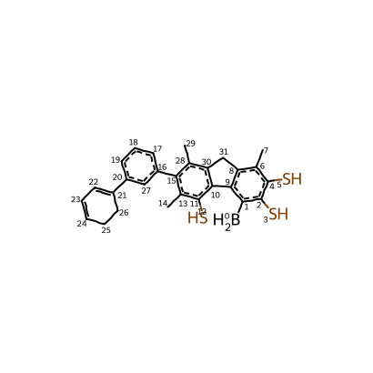 Bc1c(S)c(S)c(C)c2c1-c1c(S)c(C)c(-c3cccc(C4=CC=CCC4)c3)c(C)c1C2